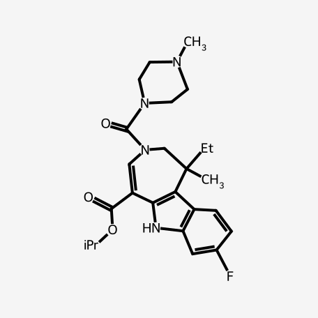 CCC1(C)CN(C(=O)N2CCN(C)CC2)C=C(C(=O)OC(C)C)c2[nH]c3cc(F)ccc3c21